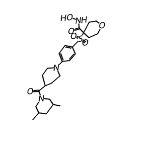 CC1CC(C)CN(C(=O)C2CCN(c3ccc(S(=O)(=O)C4(C(=O)NO)CCOCC4)cc3)CC2)C1